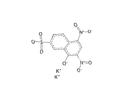 O=[N+]([O-])c1cc([N+](=O)[O-])c2ccc(S(=O)(=O)[O-])cc2c1[O-].[K+].[K+]